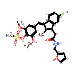 COc1cc(C=C2C(C)=C(CC(=O)NCc3ccco3)c3cc(F)ccc32)cc(OC)c1OS(C)(=O)=O